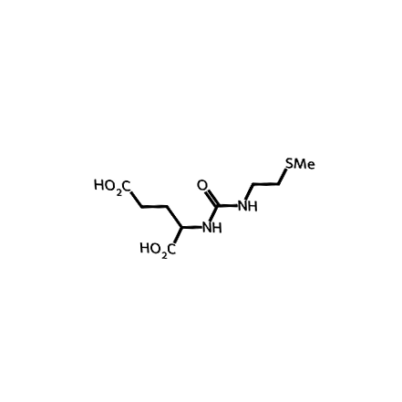 CSCCNC(=O)NC(CCC(=O)O)C(=O)O